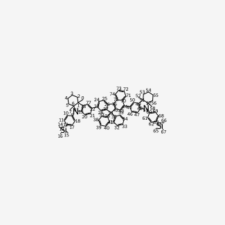 CC12CCCCC1(C)N(c1ccc([Si](C)(C)C)cc1)c1ccc(-c3ccc4c(c3)C(c3ccccc3)(c3ccccc3)c3cc(-c5ccc6c(c5)C5(C)CCCCC5(C)N6c5ccc([Si](C)(C)C)cc5)c5ccccc5c3-4)cc12